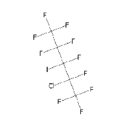 FC(F)(F)C(F)(F)C(F)(I)C(F)(Cl)C(F)(F)F